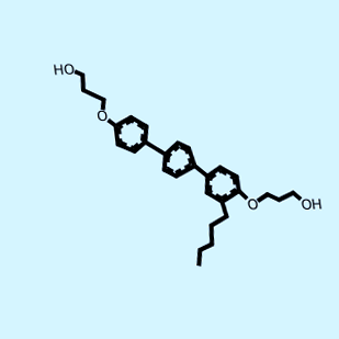 CCCCCc1cc(-c2ccc(-c3ccc(OCCCO)cc3)cc2)ccc1OCCCO